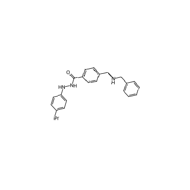 CC(C)c1ccc(NNC(=O)c2ccc(CNCc3ccccc3)cc2)cc1